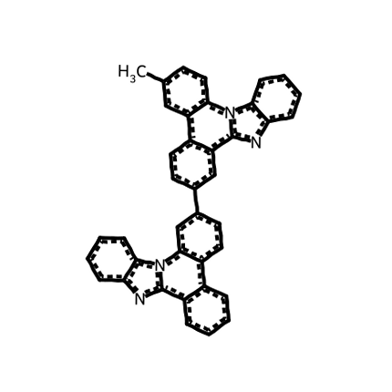 Cc1ccc2c(c1)c1ccc(-c3ccc4c5ccccc5c5nc6ccccc6n5c4c3)cc1c1nc3ccccc3n21